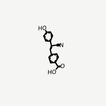 N#CC(=Cc1ccc(C(=O)O)cc1)c1ccc(O)cc1